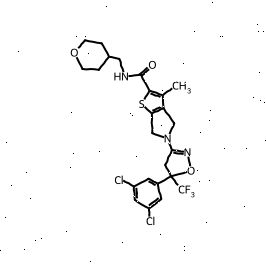 Cc1c(C(=O)NCC2CCOCC2)sc2c1CN(C1=NOC(c3cc(Cl)cc(Cl)c3)(C(F)(F)F)C1)C2